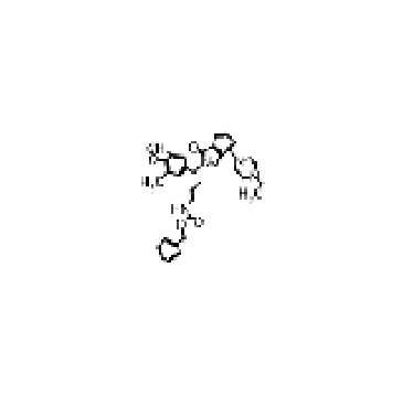 CCN1CCN(c2cccc3c2CN([C@H](CCCNC(=O)OCc2ccccc2)c2ccc(OC)c(C)c2)C3=O)CC1